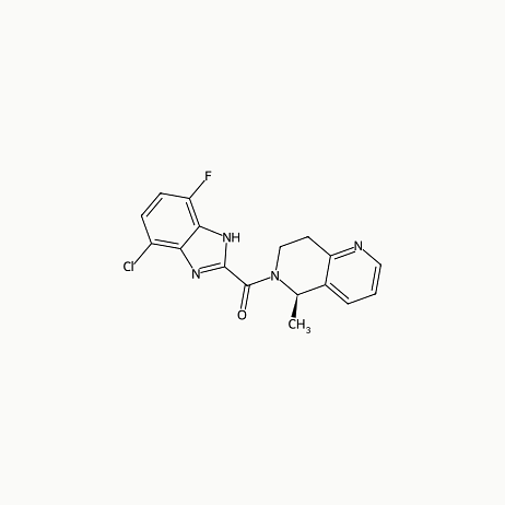 C[C@@H]1c2cccnc2CCN1C(=O)c1nc2c(Cl)ccc(F)c2[nH]1